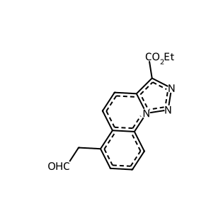 CCOC(=O)c1nnn2c1ccc1c(CC=O)cccc12